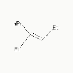 C[CH]C=C(CC)CCC